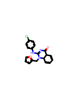 O=C1N=C(Nc2ccc(Cl)cc2)N(Cc2ccco2)C2C=CC=CC12